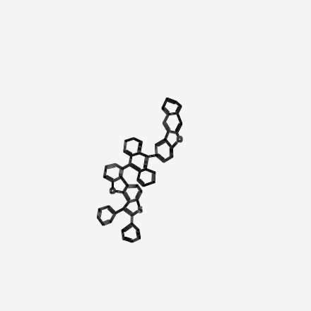 C1=c2c(-c3ccc4oc5cc6ccccc6cc5c4c3)c3ccccc3c(-c3cccc4oc5c(ccc6sc(-c7ccccc7)c(-c7ccccc7)c65)c34)c2=CCC1